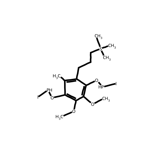 COc1c(OPI)c(C)c(CCCS(C)(C)C)c(OPI)c1OC